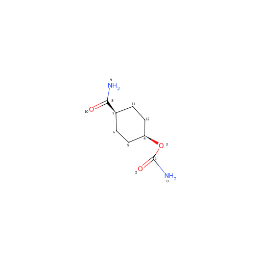 NC(=O)O[C@H]1CC[C@@H](C(N)=O)CC1